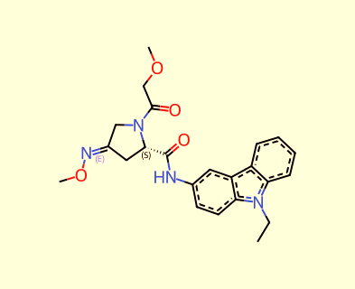 CCn1c2ccccc2c2cc(NC(=O)[C@@H]3C/C(=N\OC)CN3C(=O)COC)ccc21